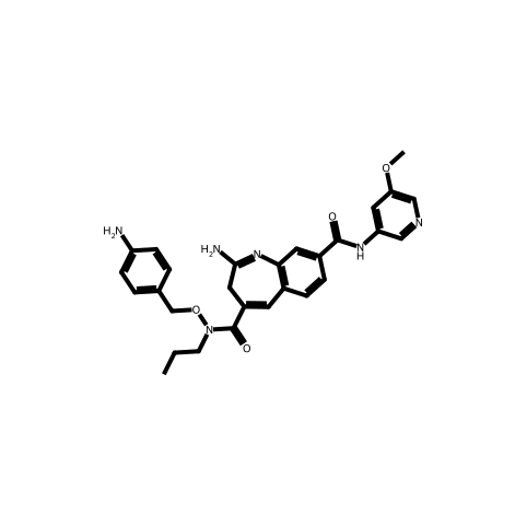 CCCN(OCc1ccc(N)cc1)C(=O)C1=Cc2ccc(C(=O)Nc3cncc(OC)c3)cc2N=C(N)C1